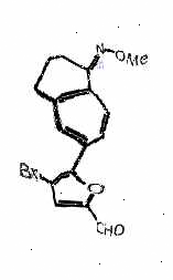 CO/N=C1/CCc2cc(-c3oc(C=O)cc3Br)ccc21